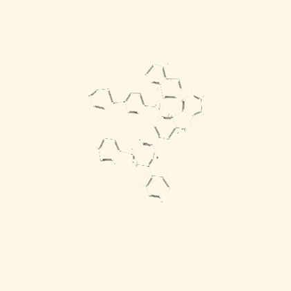 c1ccc(-c2ccc(N(c3cccc4ccccc34)c3cc(-c4nc(-c5ccccc5)nc(-c5ccccc5)n4)cc4oc5ccccc5c34)cc2)cc1